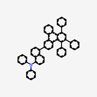 c1ccc(-c2cc(-c3ccccc3)c3c4ccccc4c4cc(-c5cccc6c(N(c7ccccc7)c7ccccc7)cccc56)ccc4c3c2-c2ccccc2)cc1